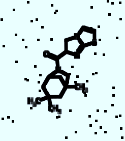 CC1(C)CC2CC(C)(CN2C(=O)C2CN3C=CSC3=N2)C1